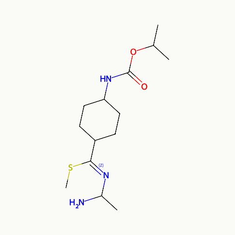 CS/C(=N\C(C)N)C1CCC(NC(=O)OC(C)C)CC1